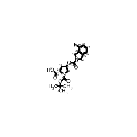 CC(C)(C)OC(=O)N1CC(OC(=O)N2Cc3cccc(F)c3C2)C[C@H]1C(=O)O